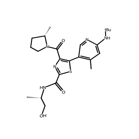 Cc1cc(NC(C)(C)C)ncc1-c1sc(C(=O)N[C@@H](C)CO)nc1C(=O)N1CCC[C@@H]1C